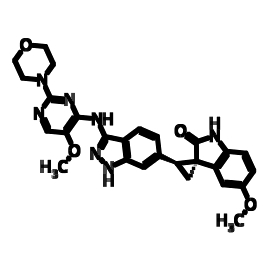 COc1ccc2c(c1)[C@]1(C[C@H]1c1ccc3c(Nc4nc(N5CCOCC5)ncc4OC)n[nH]c3c1)C(=O)N2